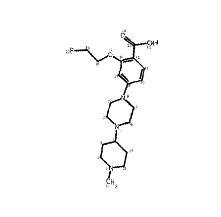 CN1CCC(N2CCN(c3ccc(C(=O)O)c(OCCF)c3)CC2)CC1